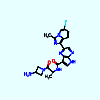 Cc1nc(-c2cnc3[nH]cc(C(=O)N[C@H](C)C(=O)N4CC(N)C4)c3n2)c2ccc(F)cn12